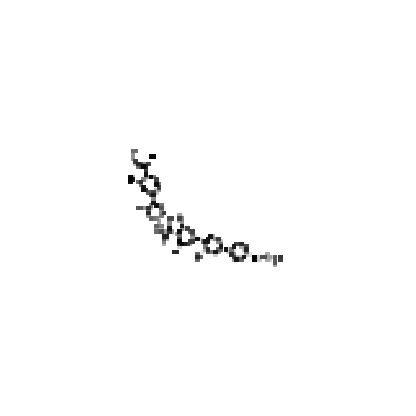 CCCCCCCc1ccc(-c2ccc(-c3cc(F)c(C(F)(F)Oc4ccc(-c5ccc(/C(F)=C/F)c(F)c5)c(F)c4)c(F)c3)c(F)c2)cc1